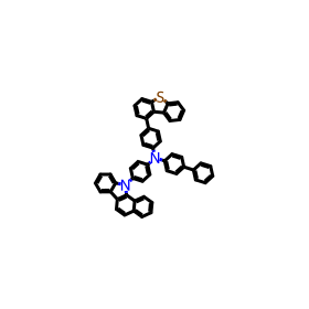 c1ccc(-c2ccc(N(c3ccc(-c4cccc5sc6ccccc6c45)cc3)c3ccc(-n4c5ccccc5c5ccc6ccccc6c54)cc3)cc2)cc1